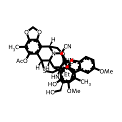 CCN1CC2(C#N)Cc3cc(C)c(OC)c(O)c3C1[C@@H]1[C@@H]3SC[C@]4(N[C@H](CO)Cc5c4[nH]c4ccc(OC)cc54)C(=O)OC[C@@H](c4c5c(c(C)c(OC(C)=O)c43)OCO5)N12